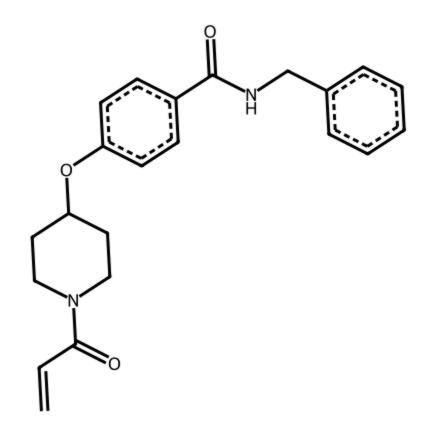 C=CC(=O)N1CCC(Oc2ccc(C(=O)NCc3ccccc3)cc2)CC1